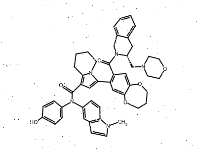 Cn1ccc2cc(N(C(=O)c3cc(-c4cc5c(cc4C(=O)N4Cc6ccccc6C[C@H]4CN4CCOCC4)OCCCO5)n4c3CCCC4)c3ccc(O)cc3)ccc21